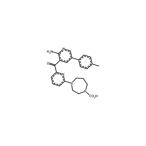 Cc1ccc(-c2cnc(N)c(C(=O)c3cccc(N4CCCN(C(=O)O)CC4)n3)c2)cc1